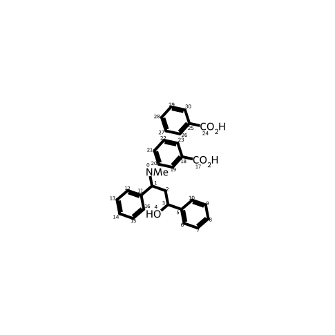 CNC(CC(O)c1ccccc1)c1ccccc1.O=C(O)c1ccccc1.O=C(O)c1ccccc1